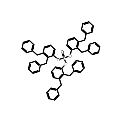 O=P(Oc1cccc(Cc2ccccc2)c1Cc1ccccc1)(Oc1cccc(Cc2ccccc2)c1Cc1ccccc1)Oc1cccc(Cc2ccccc2)c1Cc1ccccc1